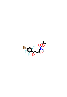 CC(C)(C)OC(=O)N1CCO[C@@H](CCC(=O)c2c(F)cc(Br)c(F)c2F)C1